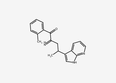 Cc1ccccc1C(=O)C(=N)CC(C)c1c[nH]c2ncccc12